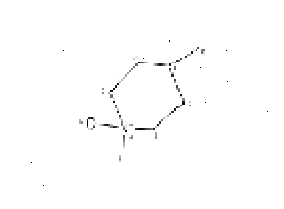 CC1CC[N+](C)([O-])CC1